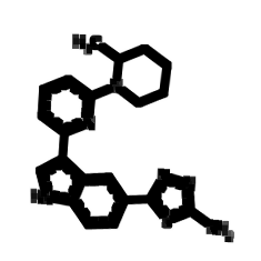 CC1CCCCN1c1cccc(-c2c[nH]c3ccc(-c4nnc(N)s4)cc23)n1